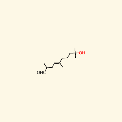 C/C(=C\CC(C)C=O)CCCC(C)(C)O